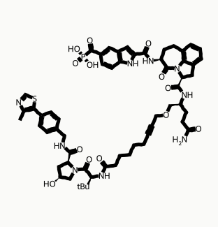 Cc1ncsc1-c1ccc(CNC(=O)[C@@H]2C[C@@H](O)CN2C(=O)[C@@H](NC(=O)CCCCCC#CCOC[C@H](CCC(N)=O)NC(=O)[C@@H]2Cc3cccc4c3N2C(=O)[C@@H](NC(=O)c2cc3cc(C(=O)P(=O)(O)O)ccc3[nH]2)CC4)C(C)(C)C)cc1